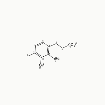 Cc1ccc(CCC(=O)O)c(C(C)(C)C)c1O